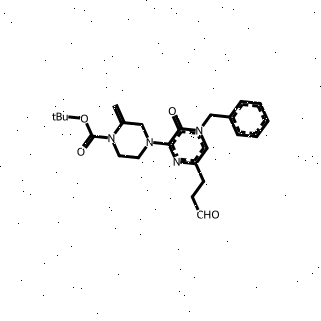 C=C1CN(c2nc(CCC=O)cn(Cc3ccccc3)c2=O)CCN1C(=O)OC(C)(C)C